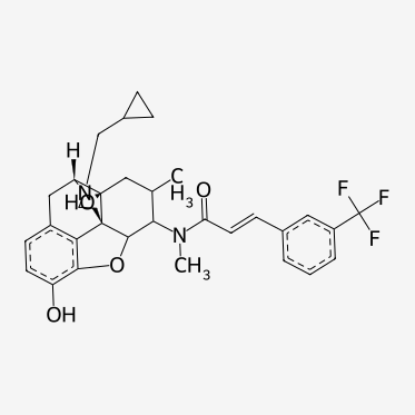 CC1C[C@@]2(O)[C@H]3Cc4ccc(O)c5c4[C@@]2(CCN3CC2CC2)C(O5)C1N(C)C(=O)/C=C/c1cccc(C(F)(F)F)c1